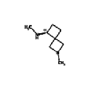 CN[C@H]1CCC12CN(C)C2